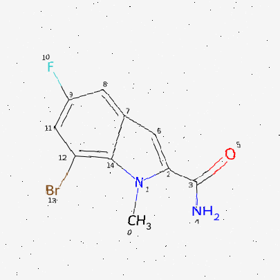 Cn1c(C(N)=O)cc2cc(F)cc(Br)c21